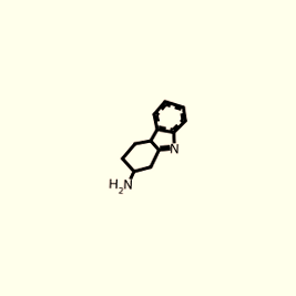 NC1CCC2C(=Nc3ccccc32)C1